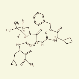 CC(C)(C)[C@H](NC(=O)N[C@H](C(=O)OCc1ccccc1)C1CCC1)C(=O)N1C[C@H]2[C@@H]([C@H]1C(=O)NC(CC1CC1)C(=O)C(N)=O)C2(C)C